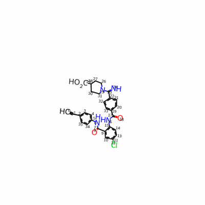 C#Cc1ccc(NC(=O)c2cc(Cl)ccc2NC(=O)c2ccc(C(=N)N3CCC(C(=O)O)CC3)cc2)cc1